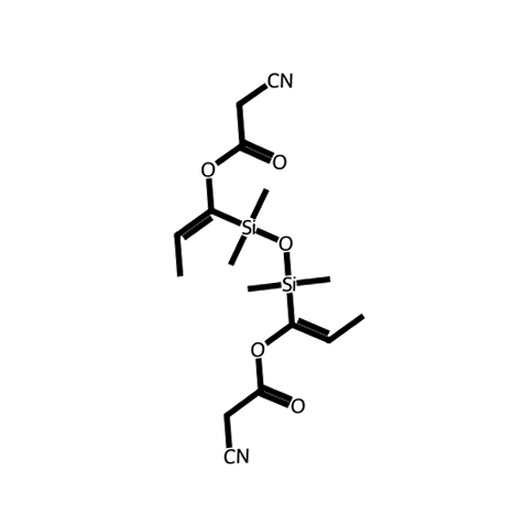 C/C=C(/OC(=O)CC#N)[Si](C)(C)O[Si](C)(C)/C(=C\C)OC(=O)CC#N